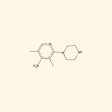 Cc1cnc(N2CCNCC2)c(C)c1N